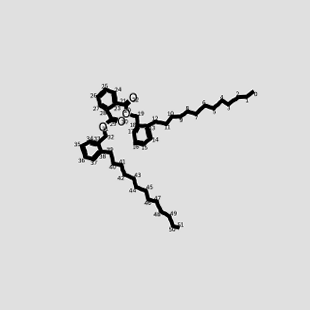 CCCCCCCCCCCCCc1ccccc1COC(=O)c1ccccc1C(=O)OCc1ccccc1CCCCCCCCCCCCC